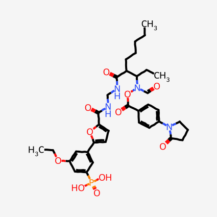 CCCCCC(C(=O)NCNC(=O)c1ccc(-c2cc(OCC)cc(P(=O)(O)O)c2)o1)C(CC)N(C=O)OC(=O)c1ccc(N2CCCC2=O)cc1